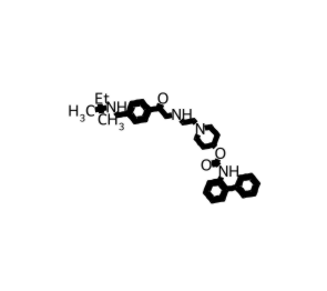 CCC(C)(C)NCc1ccc(C(=O)CNCCN2CCC(OC(=O)Nc3ccccc3-c3ccccc3)CC2)cc1